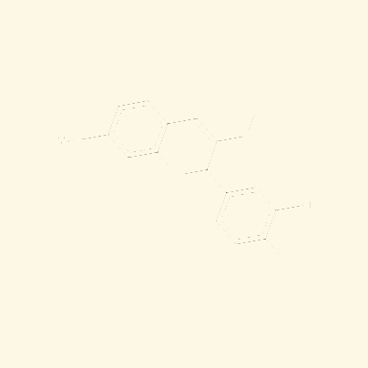 COc1ccc2c(c1)OC(c1ccc(Cl)c(Cl)c1)C(OC(=O)O)=C2